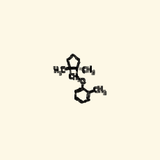 Cc1ccccc1OC[C@]1(C)CCCC1(C)C